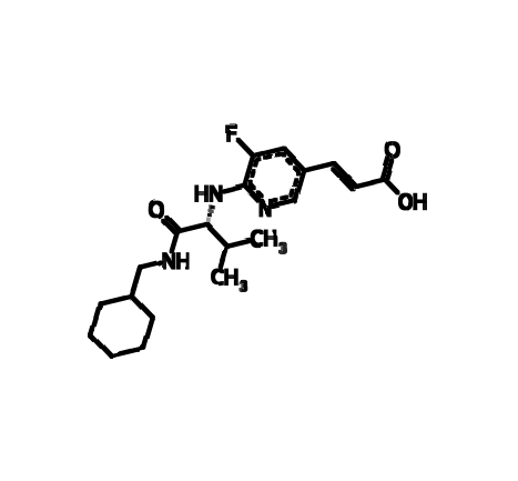 CC(C)[C@@H](Nc1ncc(C=CC(=O)O)cc1F)C(=O)NCC1CCCCC1